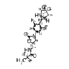 CC(F)(F)C(=O)NC[C@H]1CN(c2cc(F)c(C3[C@H]4CS(=O)(=O)C[C@@H]34)c(F)c2)C(=O)O1